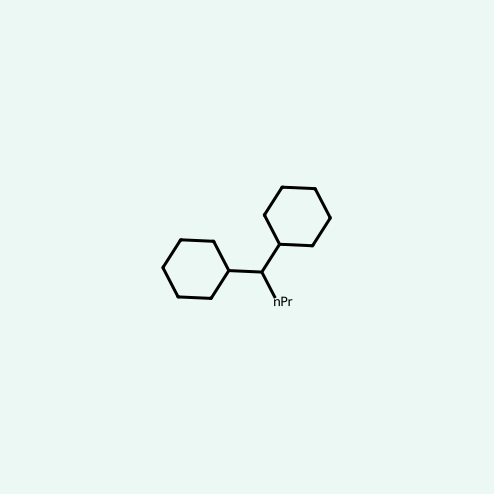 [CH2]CCC(C1CCCCC1)C1CCCCC1